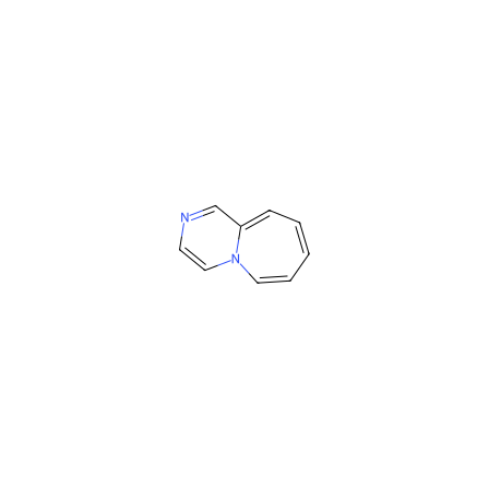 C1=CC=C2C=NC=CN2C=C1